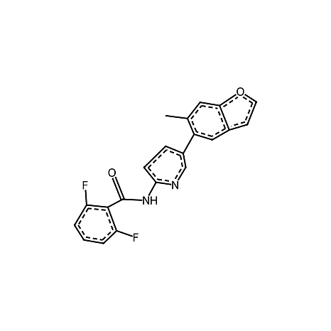 Cc1cc2occc2cc1-c1ccc(NC(=O)c2c(F)cccc2F)nc1